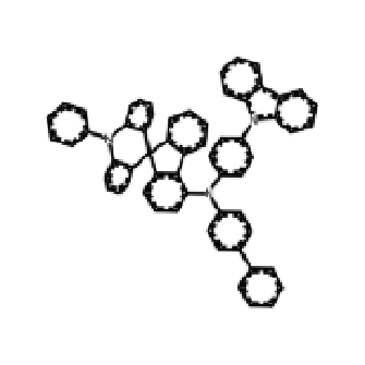 c1ccc(-c2ccc(N(c3ccc(-n4c5ccccc5c5ccccc54)cc3)c3cccc4c3-c3ccccc3C43c4ccccc4N(c4ccccc4)c4ccccc43)cc2)cc1